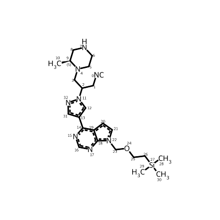 [C-]#[N+]CC(CN1CCNC[C@@H]1C)n1cc(-c2ncnc3c2ccn3COCC[Si](C)(C)C)cn1